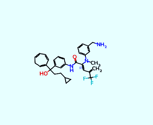 C=C(/C=C(/C(=O)Nc1cccc(C(O)(CCC2CC2)C2=CCC=CC=C2)c1)N(C)c1cccc(CN)c1)C(F)(F)F